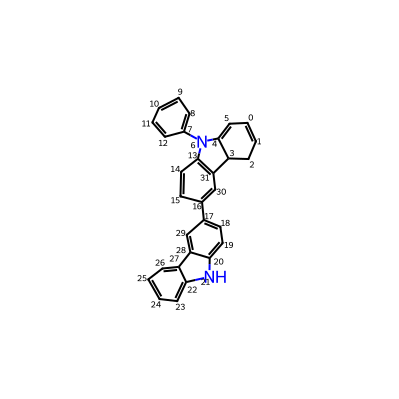 C1=CCC2C(=C1)N(c1ccccc1)c1ccc(-c3ccc4[nH]c5ccccc5c4c3)cc12